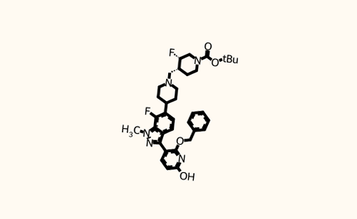 Cn1nc(-c2ccc(O)nc2OCc2ccccc2)c2ccc(C3CCN(C[C@H]4CCN(C(=O)OC(C)(C)C)C[C@H]4F)CC3)c(F)c21